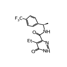 CCc1c(C(=O)N[C@H](C)c2ccc(C(F)(F)F)cc2)nc[nH]c1=O